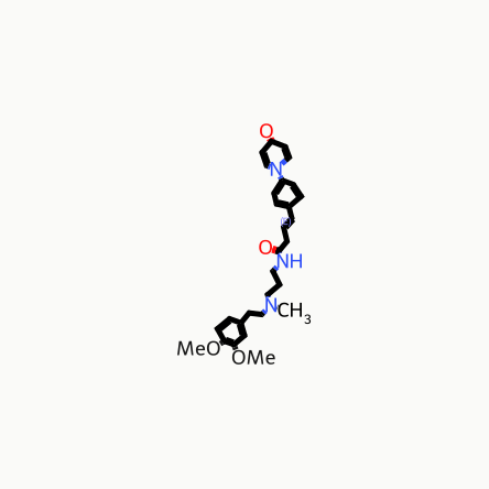 COc1ccc(CCN(C)CCCNC(=O)C/C=C/c2ccc(-n3ccc(=O)cc3)cc2)cc1OC